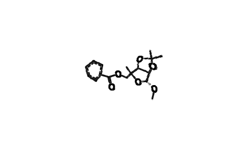 CO[C@@H]1OC(C)(COC(=O)c2ccccc2)C2OC(C)(C)OC21